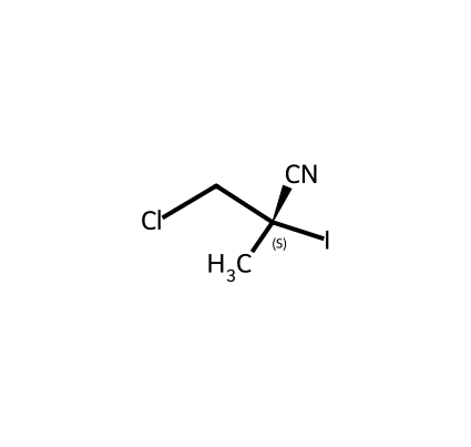 C[C@](I)(C#N)CCl